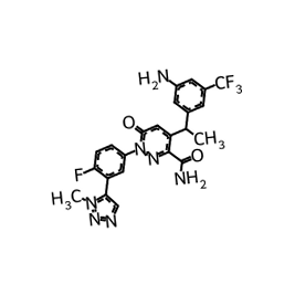 CC(c1cc(N)cc(C(F)(F)F)c1)c1cc(=O)n(-c2ccc(F)c(-c3cnnn3C)c2)nc1C(N)=O